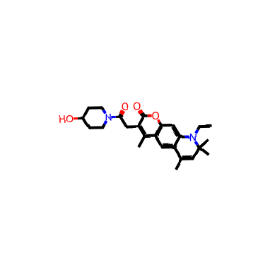 CCN1c2cc3oc(=O)c(CC(=O)N4CCC(O)CC4)c(C)c3cc2C(C)=CC1(C)C